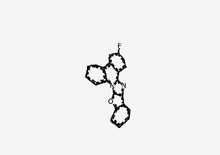 Fc1ccc2c(c1)c1ccccc1n1c2nc2c3ccccc3oc21